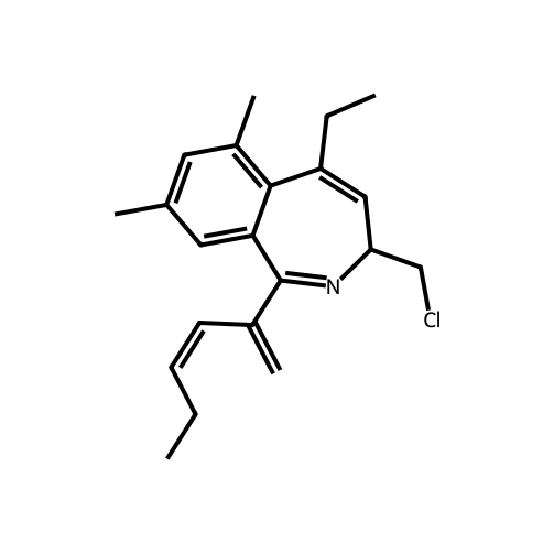 C=C(/C=C\CC)C1=NC(CCl)C=C(CC)c2c(C)cc(C)cc21